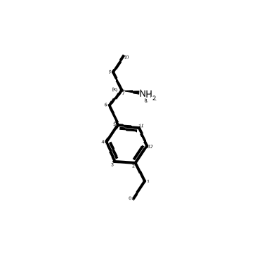 CCc1ccc(C[C@H](N)CC)cc1